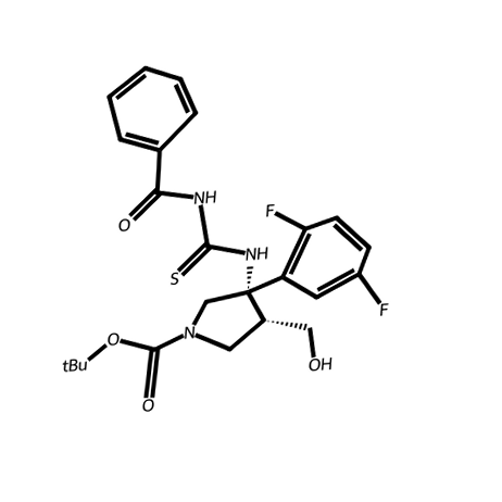 CC(C)(C)OC(=O)N1C[C@@H](CO)[C@](NC(=S)NC(=O)c2ccccc2)(c2cc(F)ccc2F)C1